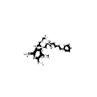 CCOCc1nc2c(N)nc(C)c(C)c2n1CCS(=O)(=O)CCCCc1ccccc1